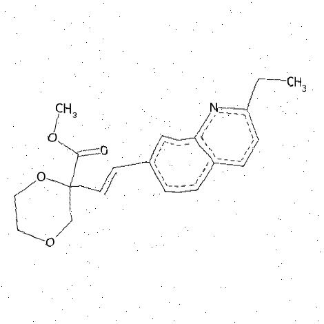 CCc1ccc2ccc(/C=C/C3(C(=O)OC)COCCO3)cc2n1